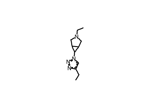 CCc1cn(C2C3CN(CC)CC32)nn1